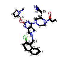 C=CC(=O)N1CCN(c2nc(OC[C@@H]3CCCN3C)nc3c2CN(Cc2c(Cl)ccc4ccccc24)C3)C[C@@H]1CC#N